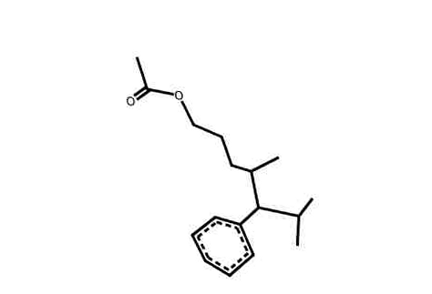 CC(=O)OCCCC(C)C(c1ccccc1)C(C)C